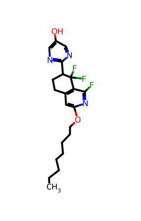 CCCCCCCCOc1cc2c(c(F)n1)C(F)(F)C(c1ncc(O)cn1)CC2